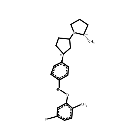 Cc1ccc(F)cc1ONc1ccc([C@H]2CCC(N3CCC[C@@H]3C)C2)cc1